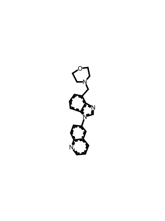 c1cnc2ccc(-n3cnc4c(CN5CCOCC5)cccc43)cc2c1